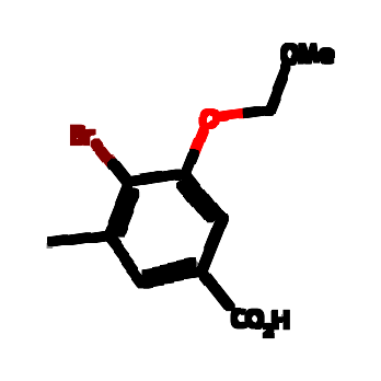 COCOc1cc(C(=O)O)cc(C)c1Br